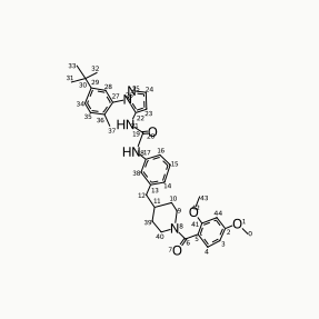 COc1ccc(C(=O)N2CCC(Cc3cccc(NC(=O)Nc4ccnn4-c4cc(C(C)(C)C)ccc4C)c3)CC2)c(OC)c1